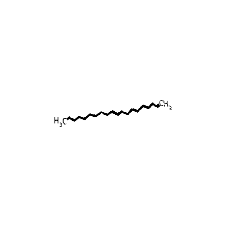 C=CCCCCCCCC=CCCCCCCCCC